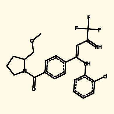 COCC1CCCN1C(=O)c1ccc(/C(=C/C(=N)C(F)(F)F)Nc2ccccc2Cl)cc1